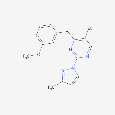 CCc1cnc(-n2ccc(C(F)(F)F)n2)nc1Cc1cccc(OC(F)(F)F)c1